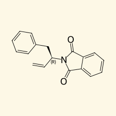 C=C[C@@H](Cc1ccccc1)N1C(=O)c2ccccc2C1=O